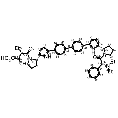 CC[C@@H](C(=O)N1CCC[C@H]1c1ncc(-c2ccc(-c3ccc(-c4cnc([C@@H]5CCCN5C(=O)[C@@H](c5ccccc5)N(CC)CC)[nH]4)cc3)cc2)[nH]1)N(C)C(=O)O